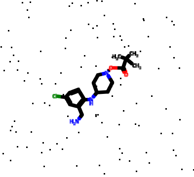 CC(C)(C)C(=O)ON1CCC(Nc2ccc(Cl)cc2CN)CC1